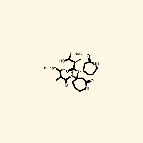 CCCCCCCC(O)C(C)C(=O)N[C@]1(N(C(=O)[C@H](C)C(O)CCCCCCC)[C@H]2CCCNC(=O)C2)CCCNC(=O)C1